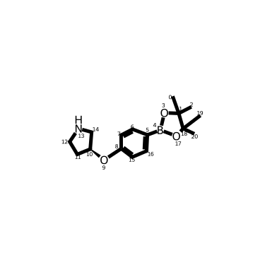 CC1(C)OB(c2ccc(O[C@H]3CCNC3)cc2)OC1(C)C